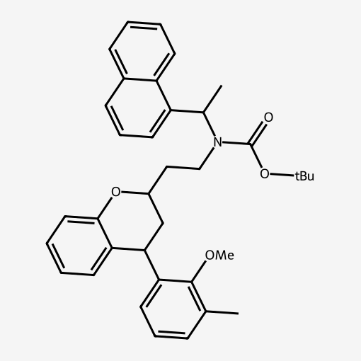 COc1c(C)cccc1C1CC(CCN(C(=O)OC(C)(C)C)C(C)c2cccc3ccccc23)Oc2ccccc21